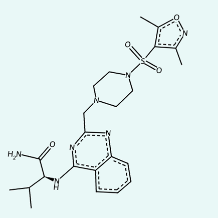 Cc1noc(C)c1S(=O)(=O)N1CCN(Cc2nc(N[C@H](C(N)=O)C(C)C)c3ccccc3n2)CC1